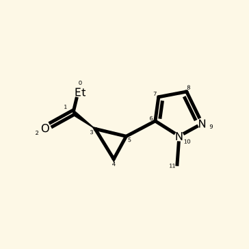 CCC(=O)[C@@H]1CC1c1ccnn1C